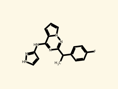 CC(c1ccc(F)cc1)c1nc(Nc2cc[nH]n2)c2cccn2n1